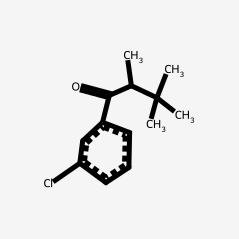 CC(C(=O)c1cccc(Cl)c1)C(C)(C)C